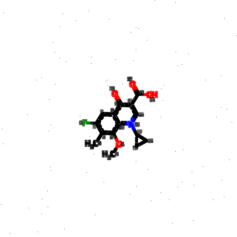 COc1c(C)c(F)cc2c(=O)c(C(=O)O)cn(C3CC3)c12